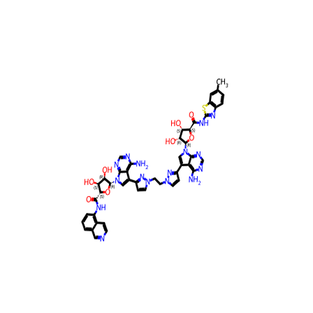 Cc1ccc2nc(NC(=O)[C@H]3O[C@@H](n4cc(-c5ccn(CCn6ccc(-c7cn([C@@H]8O[C@H](C(=O)Nc9cccc%10cnccc9%10)[C@@H](O)[C@H]8O)c8ncnc(N)c78)n6)n5)c5c(N)ncnc54)[C@H](O)[C@@H]3O)sc2c1